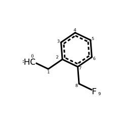 [CH]Cc1ccccc1CF